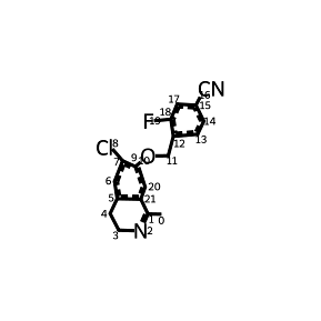 CC1=NCCc2cc(Cl)c(OCc3ccc(C#N)cc3F)cc21